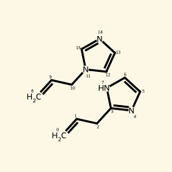 C=CCc1ncc[nH]1.C=CCn1ccnc1